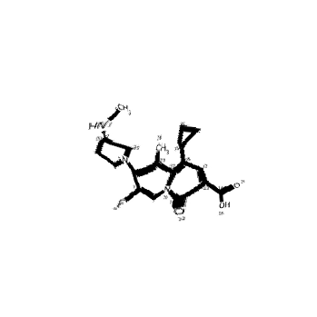 CN[C@H]1CCN(c2c(F)cn3c(=O)c(C(=O)O)cc(C4CC4)c3c2C)C1